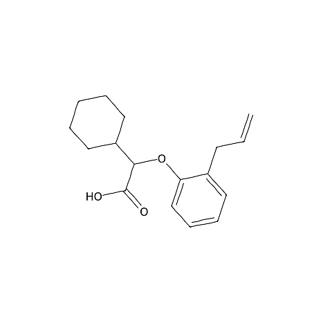 C=CCc1ccccc1OC(C(=O)O)C1CCCCC1